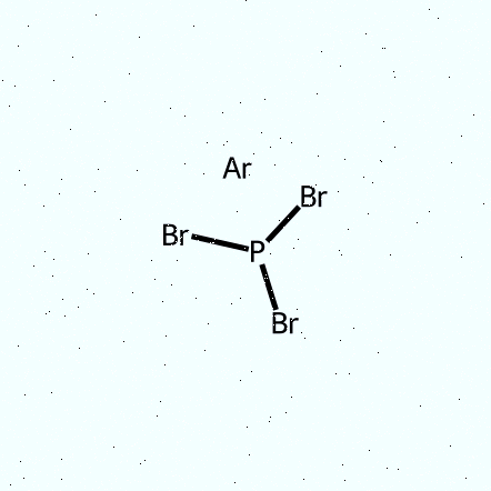 BrP(Br)Br.[Ar]